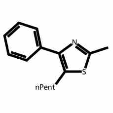 [CH2]CCCCc1sc(C)nc1-c1ccccc1